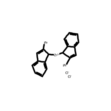 CC(C)C1=Cc2ccccc2[CH]1[Zr+2][CH]1C(C(C)C)=Cc2ccccc21.[Cl-].[Cl-]